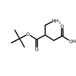 CC(C)(C)OC(=O)C(CN)CC(=O)O